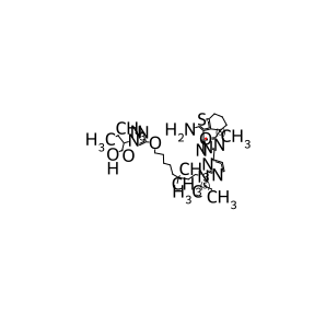 CC[C@H](C)N(CCC(C)(C)CCCCCOc1cn(C(C(=O)O)C(C)C)nn1)c1nccc(-c2noc([C@@]3(C)CCCc4sc(N)c(C#N)c43)n2)n1